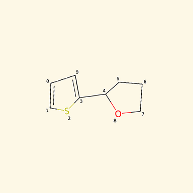 c1csc(C2CCCO2)c1